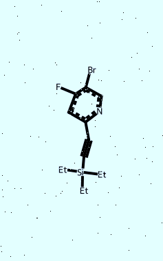 CC[Si](C#Cc1cc(F)c(Br)cn1)(CC)CC